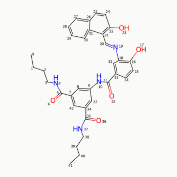 CCCCNC(=O)c1cc(NC(=O)c2ccc(O)c(N=Cc3c(O)ccc4ccccc34)c2)cc(C(=O)NCCCC)c1